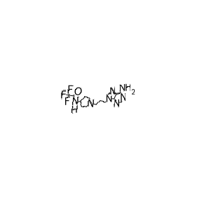 Nc1ncnc2c1ncn2CCCN1CCC(NC(=O)C(F)(F)F)CC1